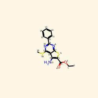 CCOC(=O)c1sc2nc(-c3ccccc3)nc(SC)c2c1N